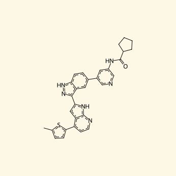 Cc1ccc(-c2ccnc3[nH]c(-c4n[nH]c5ccc(-c6cncc(NC(=O)C7CCCC7)c6)cc45)cc23)s1